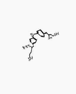 SCCC(S)Cc1ccc(Sc2ccc(CC(S)CCS)cc2)cc1